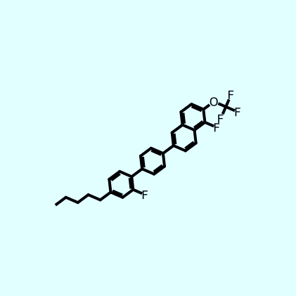 CCCCCc1ccc(-c2ccc(-c3ccc4c(F)c(OC(F)(F)F)ccc4c3)cc2)c(F)c1